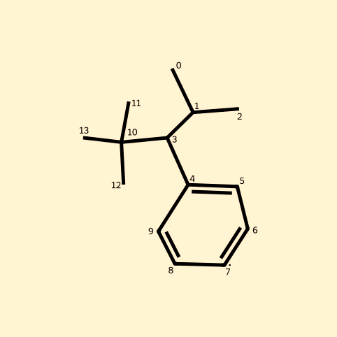 CC(C)C(c1cc[c]cc1)C(C)(C)C